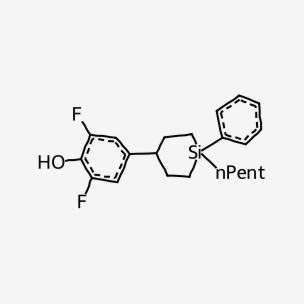 CCCCC[Si]1(c2ccccc2)CCC(c2cc(F)c(O)c(F)c2)CC1